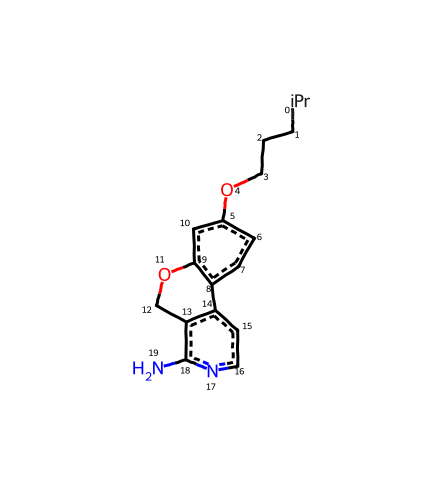 CC(C)CCCOc1ccc2c(c1)OCc1c-2ccnc1N